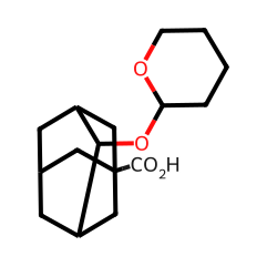 O=C(O)C12CC3CC(C1)C(OC1CCCCO1)C(C3)C2